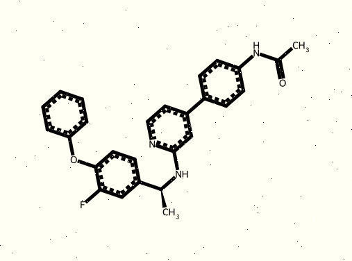 CC(=O)Nc1ccc(-c2ccnc(N[C@@H](C)c3ccc(Oc4ccccc4)c(F)c3)c2)cc1